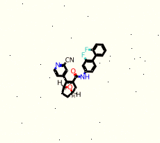 N#Cc1cc(C2=C(C(=O)Nc3ccc(-c4ccccc4F)c(F)c3)C[C@H]3CC[C@@H]2O3)ccn1